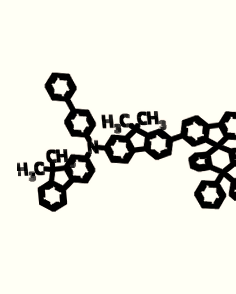 CC1(C)c2ccccc2-c2ccc(N(c3ccc(-c4ccccc4)cc3)c3ccc4c(c3)C(C)(C)c3cc(-c5ccc6c(c5)C5(c7ccccc7-6)c6ccccc6C(c6ccccc6)(c6ccccc6)c6ccccc65)ccc3-4)cc21